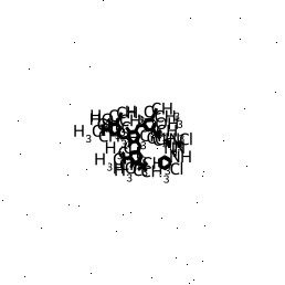 Cc1c(Cc2cc(C(C)(C)C)c(O)c(C(C)(C)C)c2)c(C)c(Cc2cc(C(C)(C)C)c(O)c(C(C)(C)C)c2)c(C)c1Cc1cc(C(C)(C)C)c(O)c(C(C)(C)C)c1.Clc1nc(Cl)nc(Nc2ccccc2Cl)n1